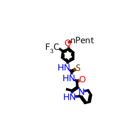 CCCCCOc1ccc(NC(=S)NC(=O)C2=C(C)NC3=CC=CCN32)cc1C(F)(F)F